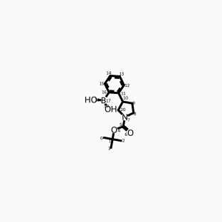 CC(C)(C)OC(=O)N1CCC(c2ccccc2B(O)O)C1